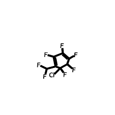 FC1=C(F)C(F)C(F)(Cl)C(C(F)F)=C1F